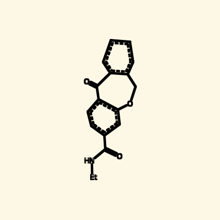 CCNC(=O)c1ccc2c(c1)OCc1ccccc1C2=O